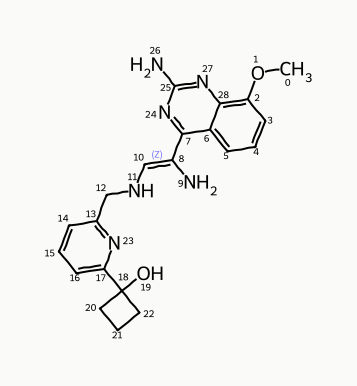 COc1cccc2c(/C(N)=C/NCc3cccc(C4(O)CCC4)n3)nc(N)nc12